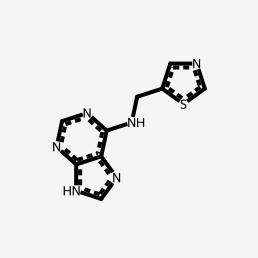 c1nc(NCc2cncs2)c2nc[nH]c2n1